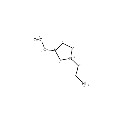 NCCN1CCC(OC=O)C1